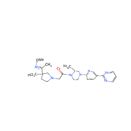 CO/N=C(\C)C1(C(=O)O)CCN(CC(=O)N2CCN(c3ccc(-c4ncccn4)cn3)CC2C)C1